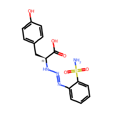 NS(=O)(=O)c1ccccc1N=NN[C@@H](Cc1ccc(O)cc1)C(=O)O